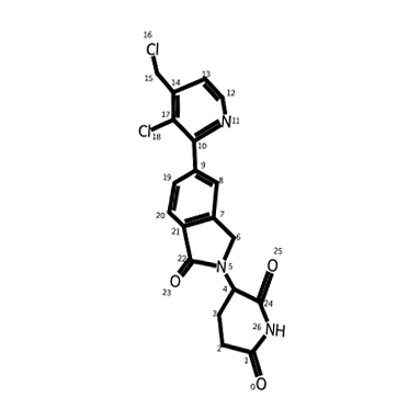 O=C1CCC(N2Cc3cc(-c4nccc(CCl)c4Cl)ccc3C2=O)C(=O)N1